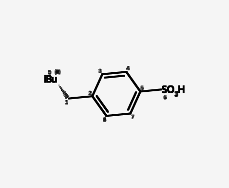 CC[C@@H](C)Cc1ccc(S(=O)(=O)O)cc1